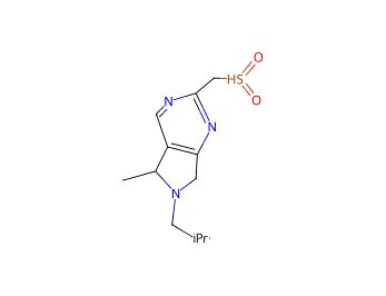 C[C](C)CN1Cc2nc(C[SH](=O)=O)ncc2C1C